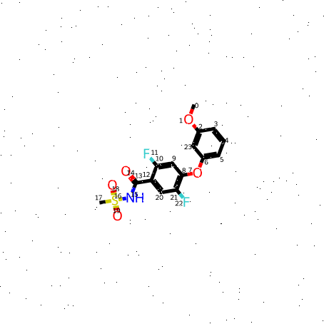 COc1cccc(Oc2cc(F)c(C(=O)NS(C)(=O)=O)cc2F)c1